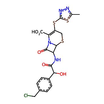 Cc1nnc(SC2=C(C(=O)O)N3C(=O)C(NC(=O)C(O)c4ccc(CCl)cc4)C3SC2)s1